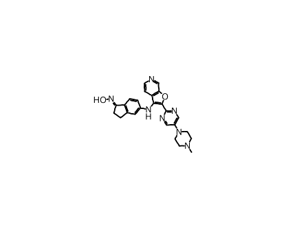 CN1CCN(c2cnc(-c3oc4cnccc4c3Nc3ccc4c(c3)CCC4=NO)nc2)CC1